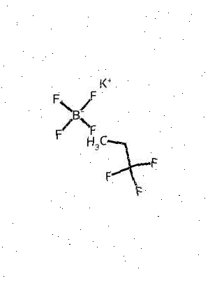 CCC(F)(F)F.F[B-](F)(F)F.[K+]